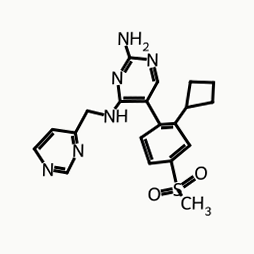 CS(=O)(=O)c1ccc(-c2cnc(N)nc2NCc2ccncn2)c(C2CCC2)c1